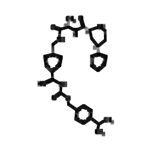 CC(C)c1ccc(COC(=O)NC(=N)c2ccc(CNC(=O)[C@H](C)NC(=O)[C@H]3C[C@@H](c4ccccc4)CCN3)cc2)cc1